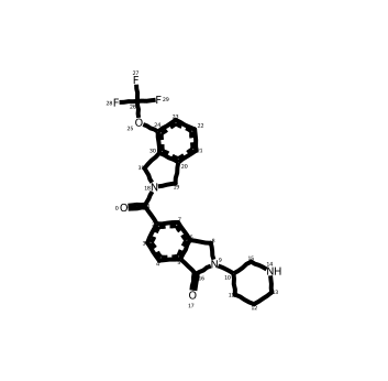 O=C(c1ccc2c(c1)CN(C1CCCNC1)C2=O)N1Cc2cccc(OC(F)(F)F)c2C1